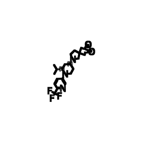 CC(C)[C@@H]1C[C@H](N2CCC3(C2)CS(=O)(=O)C3)CCN1c1ccc(C(F)(F)F)nc1